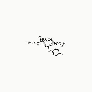 CCCCCCOC(=O)N=NC(=O)Oc1ccc(C)cc1.O=C(O)N=NC(=O)O